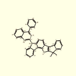 CC1(C)c2ccccc2-c2c1oc1c2ccc2c1c1ccccc1n2-c1nc(-c2ccccc2)c2ccccc2n1